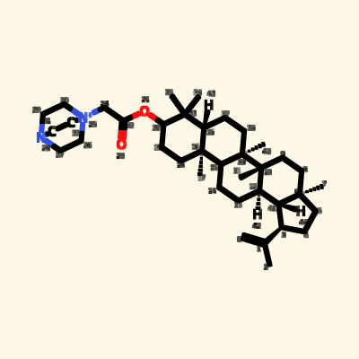 C=C(C)[C@@H]1CC[C@]2(C)CC[C@]3(C)[C@H](CCC4[C@@]5(C)CCC(OC(=O)C[N+]67CCN(CC6)CC7)C(C)(C)[C@@H]5CC[C@]43C)[C@@H]12